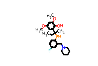 CCC(C)(Pc1ccc(F)cc1CN1CCCCC1)c1cc(OC)cc(OC)c1O